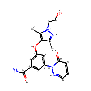 CCc1nn(CCO)c(CC)c1Oc1cc(C(N)=O)cc(-n2ncccc2=O)c1